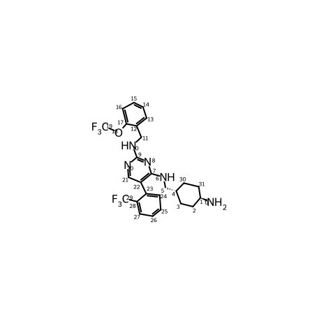 N[C@H]1CC[C@H](CNc2nc(NCc3ccccc3OC(F)(F)F)ncc2-c2ccccc2C(F)(F)F)CC1